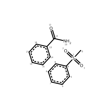 CS(=O)(=O)c1c[c]ccc1.NC(=O)c1ccccc1